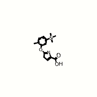 Cc1ccc([Si](C)(C)C)cc1OC1=NC(C(=O)O)=CC1